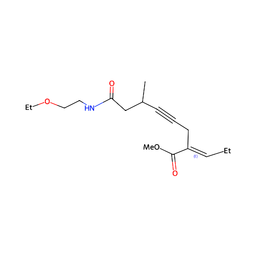 CC/C=C(\CC#CC(C)CC(=O)NCCOCC)C(=O)OC